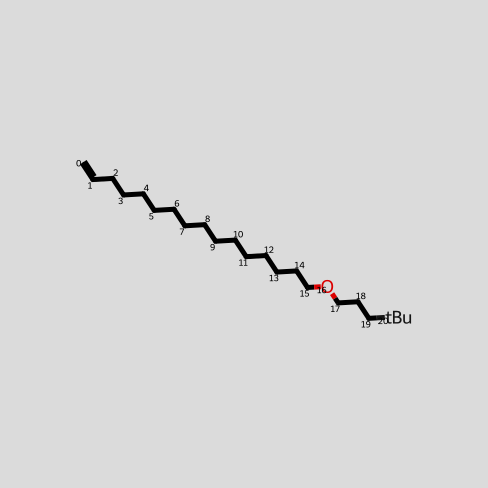 C=CCCCCCCCCCCCCCCOCCCC(C)(C)C